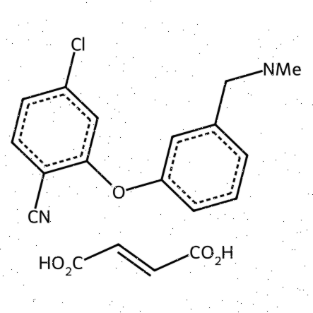 CNCc1cccc(Oc2cc(Cl)ccc2C#N)c1.O=C(O)C=CC(=O)O